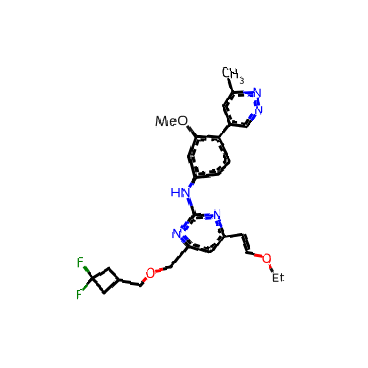 CCOC=Cc1cc(COCC2CC(F)(F)C2)nc(Nc2ccc(-c3cnnc(C)c3)c(OC)c2)n1